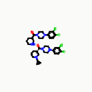 O=C(C1CCCNC1)N1CCN(c2ccc(Cl)c(Cl)c2)CC1.O=C([C@H]1CCCN(C2CC2)C1)N1CCN(c2ccc(Cl)c(Cl)c2)CC1